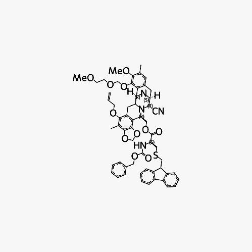 C=CCOc1c(C)c2c(c3c1CC1[C@H]4c5c(cc(C)c(OC)c5OCOCCOC)C[C@@H]([C@H](C#N)N1[C@H]3COC(=O)[C@@H](CSCC1c3ccccc3-c3ccccc31)NC(=O)OCc1ccccc1)N4C)OCO2